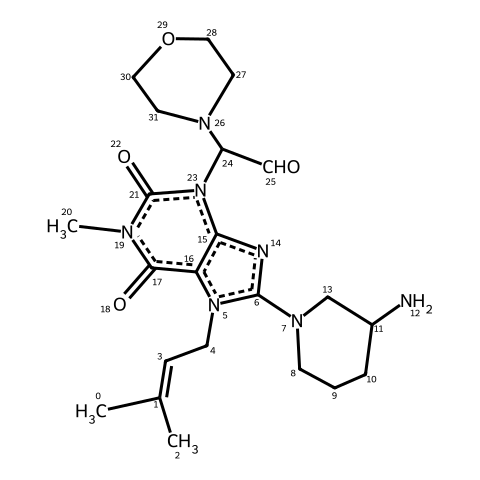 CC(C)=CCn1c(N2CCCC(N)C2)nc2c1c(=O)n(C)c(=O)n2C(C=O)N1CCOCC1